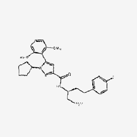 COc1cccc(OC)c1-c1cc(C(=O)N[C@@H](CCc2ccc(F)cc2)CC(=O)O)nn1C1CCCC1